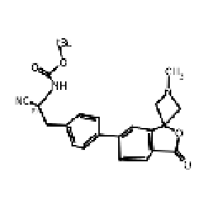 CN1CC2(C1)OC(=O)c1ccc(-c3ccc(C[C@@H](C#N)NC(=O)OC(C)(C)C)cc3)cc12